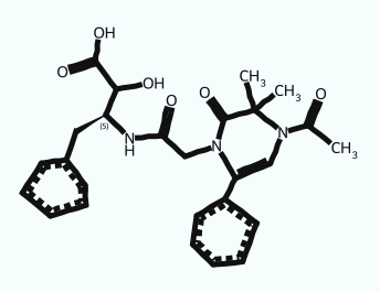 CC(=O)N1C=C(c2ccccc2)N(CC(=O)N[C@@H](Cc2ccccc2)C(O)C(=O)O)C(=O)C1(C)C